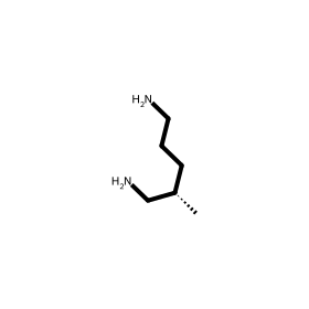 C[C@H](CN)CCCN